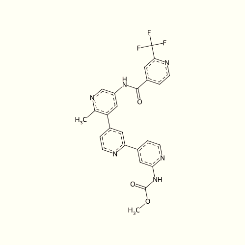 COC(=O)Nc1cc(-c2cc(-c3cc(NC(=O)c4ccnc(C(F)(F)F)c4)cnc3C)ccn2)ccn1